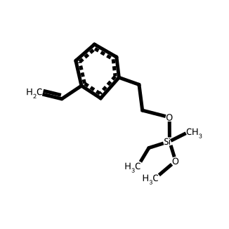 C=Cc1cccc(CCO[Si](C)(CC)OC)c1